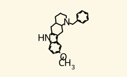 COc1ccc2[nH]c3c(c2c1)CC1C(CCCN1Cc1ccccc1)C3